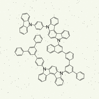 c1ccc(-c2cc(-c3ccccc3)cc(-c3ccc(-n4c5ccccc5c5c6c7ccccc7n(-c7cc(-c8ccccc8)cc(-c8cccc(-c9cc(-n%10c%11ccccc%11c%11c%12c%13ccccc%13n(-c%13ccc(-n%14c%15ccccc%15c%15ccccc%15%14)cc%13)c%12ccc%11%10)c%10ccccc%10c9)c8)c7)c6ccc54)cc3)c2)cc1